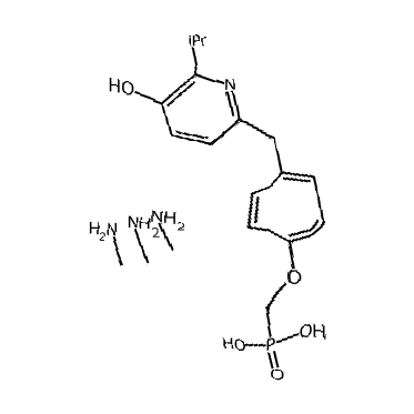 CC(C)c1nc(Cc2ccc(OCP(=O)(O)O)cc2)ccc1O.CN.CN.CN